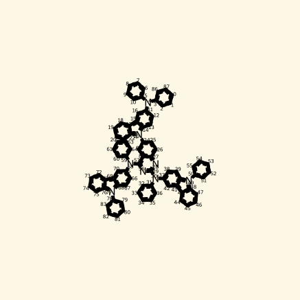 c1ccc(N(c2ccccc2)c2ccc3c(c2)c2ccccc2n3-c2ccc3nc(N(c4ccccc4)c4ccc5c(c4)c4ccccc4n5-c4ccccc4)nc(N(c4ccccc4)c4ccc5c(c4)c4ccccc4n5-c4ccccc4)c3c2)cc1